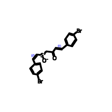 O=C(/C=C/c1ccc(Br)cc1)C[S+]([O-])/C=C\c1ccc(Br)cc1